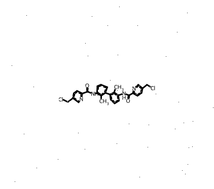 Cc1c(NC(=O)c2ccc(CCl)cn2)cccc1-c1cccc(NC(=O)c2ccc(CCl)cn2)c1C